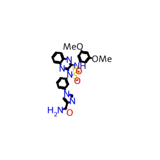 COc1cc(Nc2nc3ccccc3nc2N(c2cccc(-n3cnc(C(N)=O)c3)c2)[SH](=O)=O)cc(OC)c1